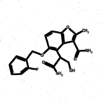 Cc1oc2ccc(OCc3ccccc3F)c(C(CO)C(N)=O)c2c1C(N)=O